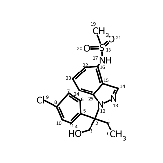 CCC(CO)(c1ccc(Cl)cc1)n1ncc2c(NS(C)(=O)=O)cccc21